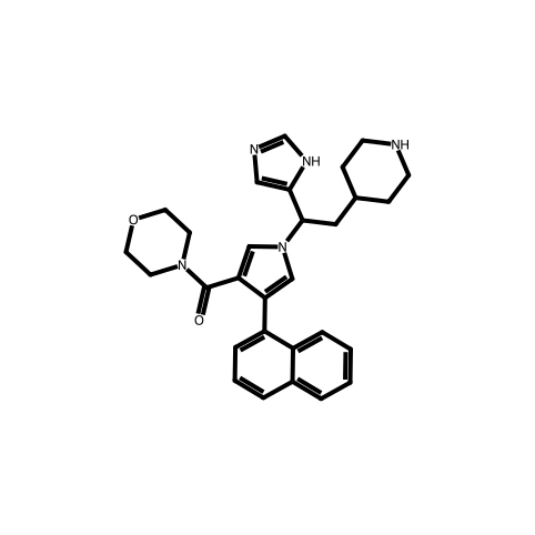 O=C(c1cn(C(CC2CCNCC2)c2cnc[nH]2)cc1-c1cccc2ccccc12)N1CCOCC1